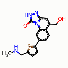 CNCc1ccc(-c2ccc3c(CO)cc4n[nH]c(=O)n4c3c2)s1